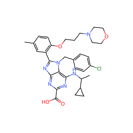 Cc1ccc(OCCCN2CCOCC2)c(-c2nc3nc(C(=O)O)nc(NC(C)C4CC4)c3n2Cc2ccc(Cl)cc2)c1